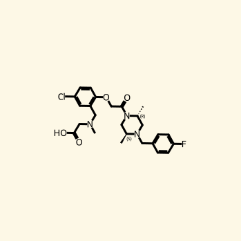 C[C@@H]1CN(Cc2ccc(F)cc2)[C@@H](C)CN1C(=O)COc1ccc(Cl)cc1CN(C)CC(=O)O